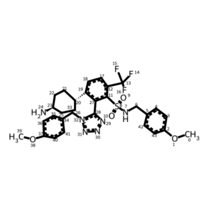 COc1ccc(CNS(=O)(=O)c2c(C(F)(F)F)ccc([C@H]3CC[C@H](N)CC3)c2-c2nnnn2Cc2ccc(OC)cc2)cc1